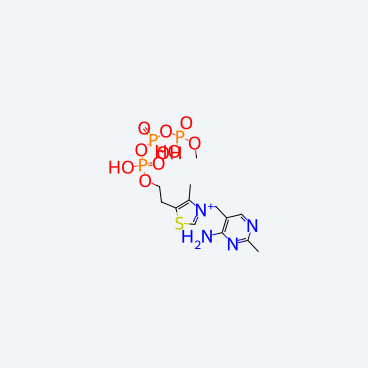 COP(=O)(O)OP(=O)(O)OP(=O)(O)OCCc1sc[n+](Cc2cnc(C)nc2N)c1C